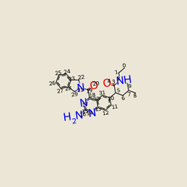 CCNC(=O)C(CC(C)C)c1ccc2nc(N)nc(C(=O)N3Cc4ccccc4C3)c2c1